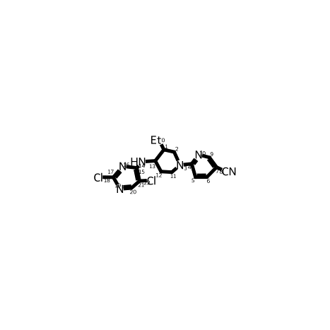 CCC1CN(c2ccc(C#N)cn2)CCC1Nc1nc(Cl)ncc1Cl